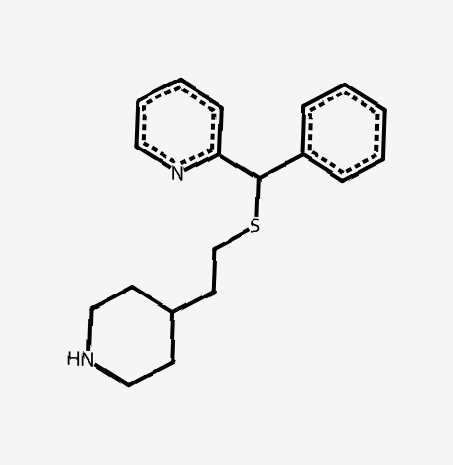 c1ccc(C(SCCC2CCNCC2)c2ccccn2)cc1